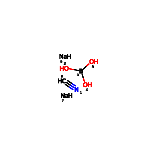 C#N.OB(O)O.[NaH].[NaH]